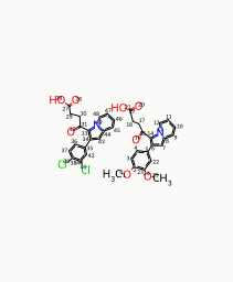 COc1ccc(-c2cc3ccccn3c2C(=O)CCC(=O)O)cc1OC.O=C(O)CCC(=O)c1c(-c2ccc(Cl)c(Cl)c2)cc2ccccn12